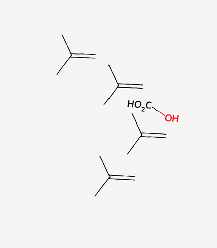 C=C(C)C.C=C(C)C.C=C(C)C.C=C(C)C.O=C(O)O